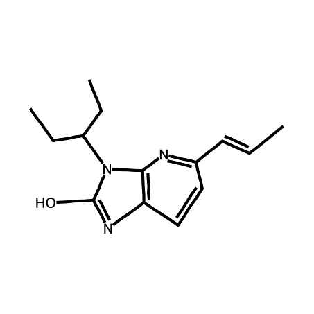 CC=Cc1ccc2nc(O)n(C(CC)CC)c2n1